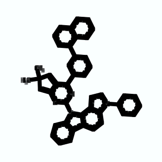 CC1(C)C=c2nc(-n3c4ccccc4c4ccc5c(ccn5-c5ccccc5)c43)nc(-c3cccc(-c4cccc5ccccc45)c3)c2=C1